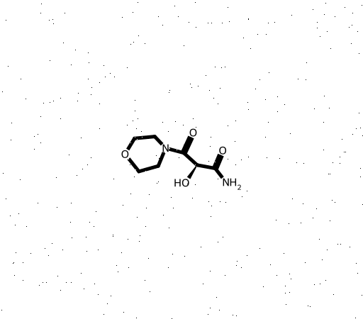 NC(=O)[C@@H](O)C(=O)N1CCOCC1